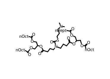 CCCCCCCCC(=O)OCC(COC(=O)CCCCCCC)OC(=O)CCCN(CCCC(=O)OC(COC(=O)CCCCCCCC)COC(=O)CCCCCCCC)C(=O)SCCCN(C)C